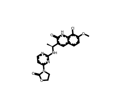 COc1ccc2cc([C@H](C)Nc3nccc(N4CCOC4=O)n3)c(=O)[nH]c2c1Cl